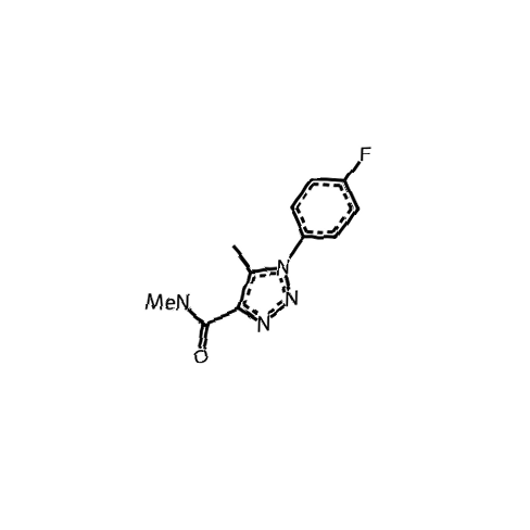 CNC(=O)c1nnn(-c2ccc(F)cc2)c1C